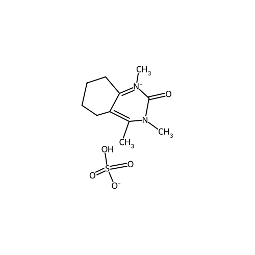 Cc1c2c([n+](C)c(=O)n1C)CCCC2.O=S(=O)([O-])O